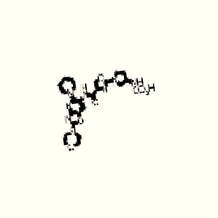 O=C(O)NC1CCN(c2nc(C(=O)Nc3cc4oc(N5CCOCC5)nc4nc3N3CCCCC3)co2)C1